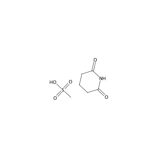 CS(=O)(=O)O.O=C1CCCC(=O)N1